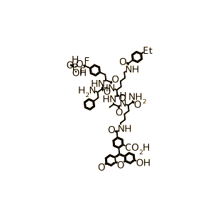 CCc1ccc(C(=O)NCCCCC(NC(=O)C(Cc2ccc(C(F)(F)O[PH](=O)O)cc2)NC(=O)C(N)Cc2ccccc2)C(=O)NC(C)C(=O)NC(CCCCNC(=O)c2ccc(-c3c4ccc(=O)cc-4oc4cc(O)ccc34)c(C(=O)O)c2)C(N)=O)cc1